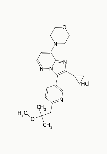 COC(C)(C)Cc1ccc(-c2c(C3CC3)nc3c(N4CCOCC4)ccnn23)cn1.Cl